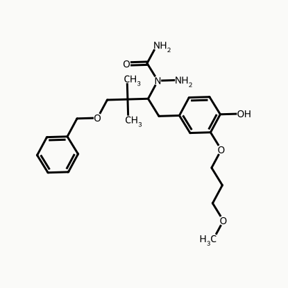 COCCCOc1cc(CC(N(N)C(N)=O)C(C)(C)COCc2ccccc2)ccc1O